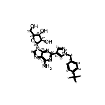 CC(C)(C)c1ccc(Cn2cc(-c3nc(N)c4ncn([C@@H]5OC(CO)[C@@H](O)[C@H]5O)c4n3)cn2)cc1